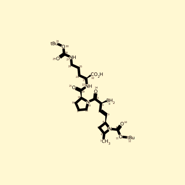 B[C@@H](/C=C/[C@@H]1CC(C)N1C(=O)OC(C)(C)C)C(=O)N1CCC[C@H]1C(=O)N[C@@H](CCCNC(=O)OC(C)(C)C)C(=O)O